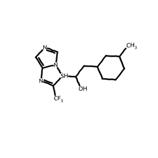 CC1CCCC(CC(O)[SH]2C(C(F)(F)F)=Nc3cncn32)C1